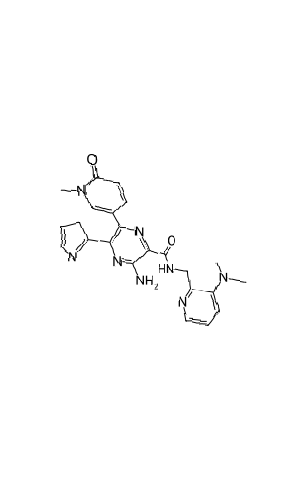 CN(C)c1cccnc1CNC(=O)c1nc(-c2ccc(=O)n(C)c2)c(C2=NC=CC2)nc1N